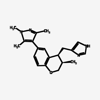 Cc1nn(C)c(C)c1-c1ccc2c(c1)[C@@H](Cc1c[nH]cn1)[C@@H](C)CO2